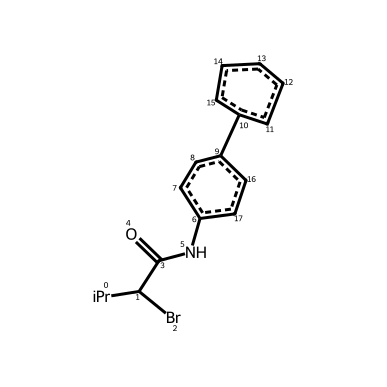 CC(C)C(Br)C(=O)Nc1ccc(-c2ccccc2)cc1